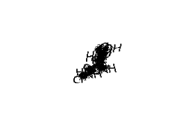 Cc1ccc(Nc2cc(=O)n(CCC[C@@H](c3c(F)cc4c(=O)c(C(=O)O)c(C5CC5)[nH]c4c3F)N3CCNC(C)C3)c(=O)[nH]2)cc1Cl